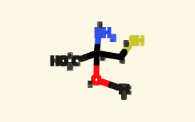 CCOC(N)(CS)C(=O)O